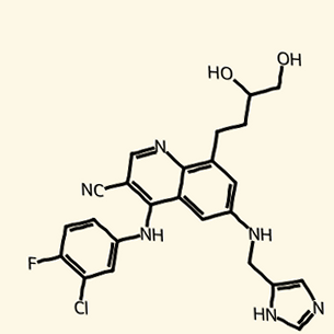 N#Cc1cnc2c(CCC(O)CO)cc(NCc3cnc[nH]3)cc2c1Nc1ccc(F)c(Cl)c1